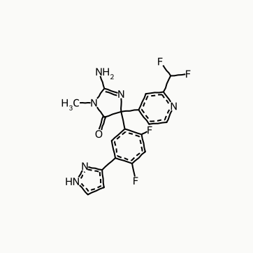 CN1C(=O)C(c2ccnc(C(F)F)c2)(c2cc(-c3cc[nH]n3)c(F)cc2F)N=C1N